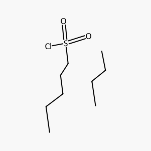 CCCC.CCCCCS(=O)(=O)Cl